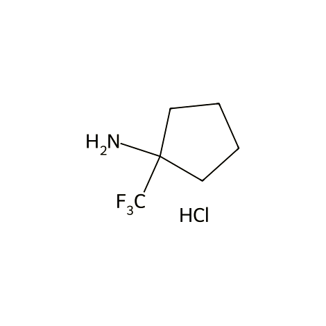 Cl.NC1(C(F)(F)F)CCCC1